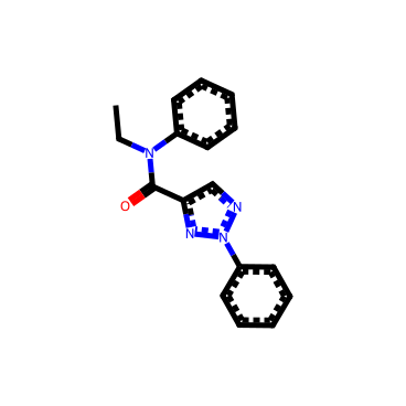 CCN(C(=O)c1cnn(-c2ccccc2)n1)c1ccccc1